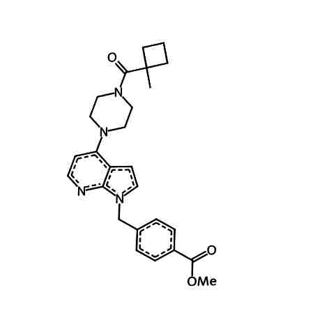 COC(=O)c1ccc(Cn2ccc3c(N4CCN(C(=O)C5(C)CCC5)CC4)ccnc32)cc1